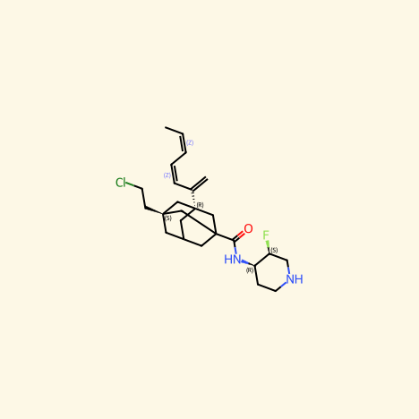 C=C(/C=C\C=C/C)[C@]12CC3CC(C(=O)N[C@@H]4CCNC[C@@H]4F)(C[C@](CCCl)(C3)C1)C2